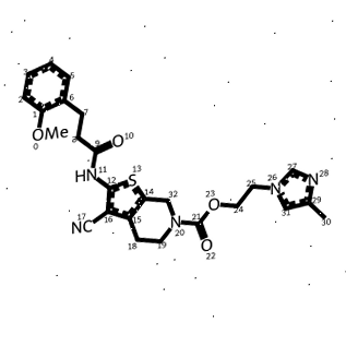 COc1ccccc1CCC(=O)Nc1sc2c(c1C#N)CCN(C(=O)OCCn1cnc(C)c1)C2